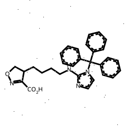 O=C(O)C1=NOCC1CCCCNc1nccn1C(c1ccccc1)(c1ccccc1)c1ccccc1